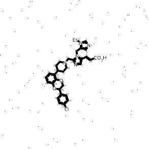 CCn1cncc1Cn1c(C=CC(=O)O)cnc1CN1CCC(c2cccc3c2OCC(c2ccc(Cl)cc2)O3)CC1